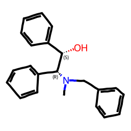 CN(Cc1ccccc1)[C@H](c1ccccc1)[C@@H](O)c1ccccc1